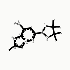 COc1cc(B2OC(C)(C)C(C)(C)O2)nn2cc(C)nc12